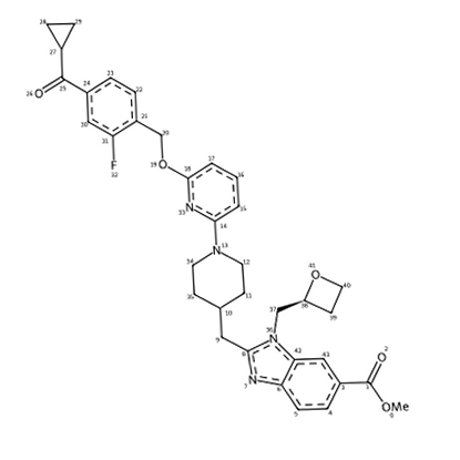 COC(=O)c1ccc2nc(CC3CCN(c4cccc(OCc5ccc(C(=O)C6CC6)cc5F)n4)CC3)n(C[C@@H]3CCO3)c2c1